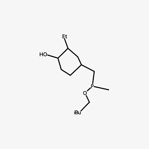 CCC(C)COP(C)CC1CCC(O)C(CC)C1